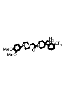 COc1ccc(N2CCN(CC(=O)N3CCC(CN)(c4cccc(C(F)(F)F)c4)CC3)CC2)cc1OC